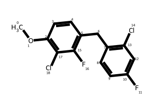 COc1ccc(Cc2ccc(F)cc2Cl)c(F)c1Cl